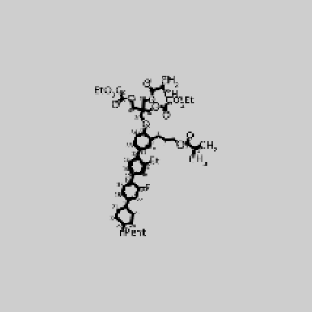 C=C(C)C(=O)OCCCc1cc(-c2ccc(-c3ccc(C4CCC(CCCCC)CC4)cc3F)cc2CC)ccc1OCC(COC(=O)C(=C)C)(COC(=O)C(=O)OCC)COC(=O)C(=O)OCC